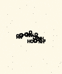 COC(=O)[C@H](Cc1cc(C(=N)N)ccc1O)[C@@H](C)NC(=O)c1ccc(-c2ccc(=O)[nH]c2)cc1